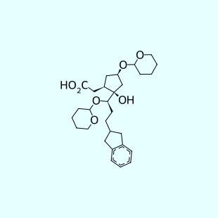 O=C(O)C[C@H]1C[C@@H](OC2CCCCO2)C[C@]1(O)[C@@H](CCC1Cc2ccccc2C1)OC1CCCCO1